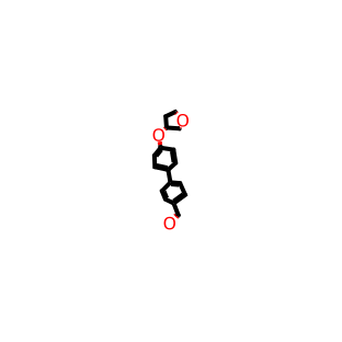 O=Cc1ccc(-c2ccc(OC3CCOC3)cc2)cc1